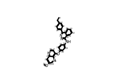 CCc1ccc(-c2nnc(Nc3ccc(Oc4ccnc5cc(OC)cnc45)cc3)c3ccccc23)cc1